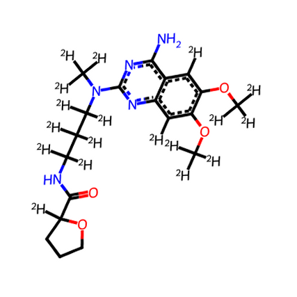 [2H]c1c(OC([2H])([2H])[2H])c(OC([2H])([2H])[2H])c([2H])c2c(N)nc(N(C([2H])([2H])[2H])C([2H])([2H])C([2H])([2H])C([2H])([2H])NC(=O)C3([2H])CCCO3)nc12